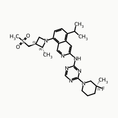 CC(C)c1ccc(N2C[C@H](CS(C)(=O)=O)[C@H]2C)c2cnc(Nc3ncnc(N4CCC[C@](C)(F)C4)n3)cc12